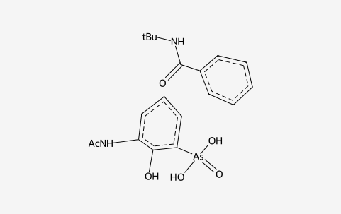 CC(=O)Nc1cccc([As](=O)(O)O)c1O.CC(C)(C)NC(=O)c1ccccc1